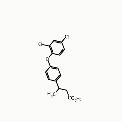 CCOC(=O)CC(C)c1ccc(Oc2ccc(Cl)cc2Cl)cc1